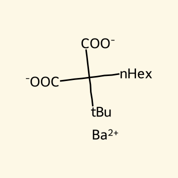 CCCCCCC(C(=O)[O-])(C(=O)[O-])C(C)(C)C.[Ba+2]